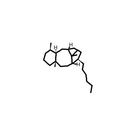 CCCCCC[C@@H]1CC[C@H]2C[C@@H]3[C@H](C)CCC[C@@]3(C)CC[C@@H]1C2(C)C